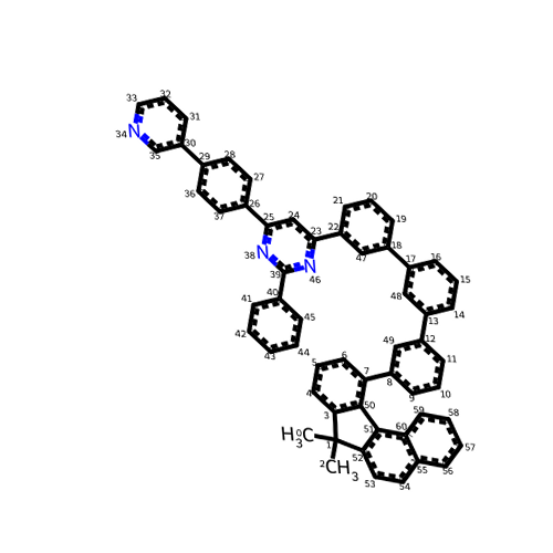 CC1(C)c2cccc(-c3cccc(-c4cccc(-c5cccc(-c6cc(-c7ccc(-c8cccnc8)cc7)nc(-c7ccccc7)n6)c5)c4)c3)c2-c2c1ccc1ccccc21